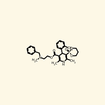 CC1=C(C(=O)OCCN(C)Cc2ccccc2)C(c2ccccc2C(F)(F)F)C(P2(=O)OCCCO2)=C(C)N1